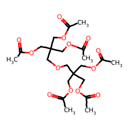 CC(=O)OCC(COCC(COC(C)=O)(COC(C)=O)COC(C)=O)(COC(C)=O)COC(C)=O